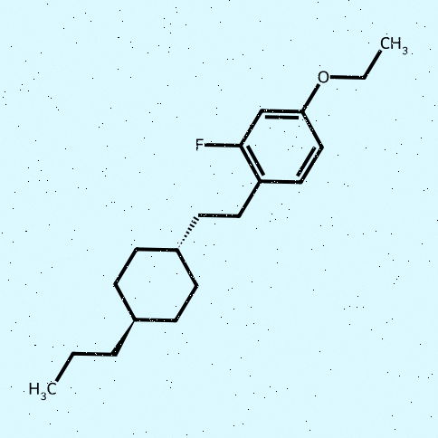 CCC[C@H]1CC[C@H](CCc2ccc(OCC)cc2F)CC1